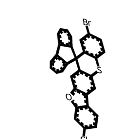 Clc1ccc2c(c1)oc1cc3c(cc12)Sc1ccc(Br)cc1C31c2ccccc2-c2ccccc21